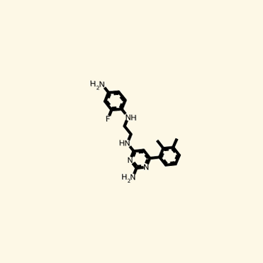 Cc1cccc(-c2cc(NCCNc3ccc(N)cc3F)nc(N)n2)c1C